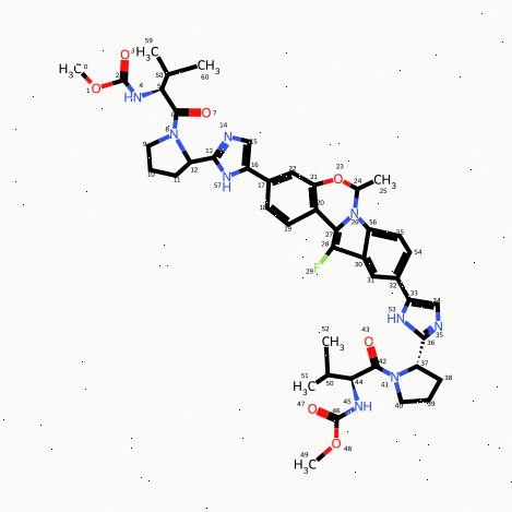 COC(=O)N[C@H](C(=O)N1CCCC1c1ncc(-c2ccc3c(c2)OC(C)n2c-3c(F)c3cc(-c4cnc([C@@H]5CCCN5C(=O)[C@@H](NC(=O)OC)C(C)C)[nH]4)ccc32)[nH]1)C(C)C